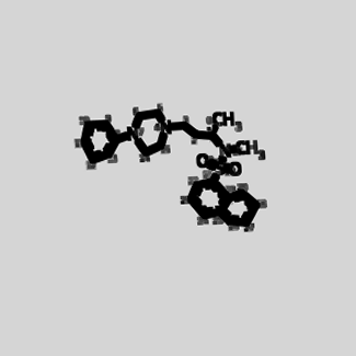 C[C@H](CCN1CCN(c2ccccc2)CC1)N(C)S(=O)(=O)c1cccc2ccccc12